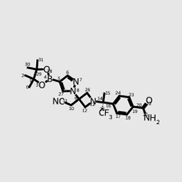 CC1(C)OB(c2cnn(C3(CC#N)CN([C@@](C)(c4ccc(C(N)=O)cc4)C(F)(F)F)C3)c2)OC1(C)C